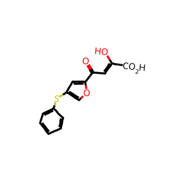 O=C(O)C(O)=CC(=O)c1cc(Sc2ccccc2)co1